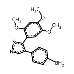 Bc1ccc(-c2cnsc2-c2cc(OC)c(OC)cc2OC)cc1